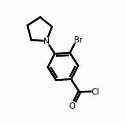 O=C(Cl)c1ccc(N2CCCC2)c(Br)c1